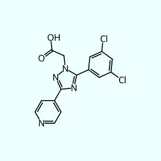 O=C(O)Cn1nc(-c2ccncc2)nc1-c1cc(Cl)cc(Cl)c1